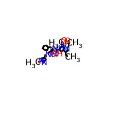 CCc1cn2c3c(cc(C(=O)N[C@@H](Cc4ccccc4)[C@H](O)CNCc4cnn(CC)c4)cc13)N(C)S(=O)(=O)C(C)C2